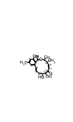 Cc1cc(O)c2c(c1)/C=C/C[C@H](O)C(O)C(=O)/C=C\[C@@H](C)[C@H](C)OC2=O